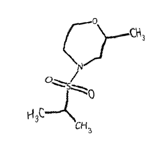 CC1CN(S(=O)(=O)C(C)C)CCO1